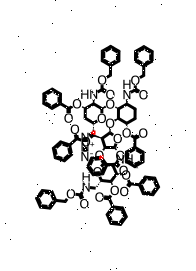 [N-]=[N+]=NC[C@@H]1C[C@H](OC(=O)c2ccccc2)[C@@H](NC(=O)OCc2ccccc2)[C@@H](O[C@H]2[C@H](O[C@@H]3O[C@H](OC(=O)c4ccccc4)[C@@H](O[C@H]4O[C@@H](CNC(=O)OCc5ccccc5)[C@@H](OC(=O)c5ccccc5)[C@H](OC(=O)c5ccccc5)[C@H]4N)[C@H]3COC(=O)c3ccccc3)[C@@H](OC(=O)c3ccccc3)CC[C@@H]2NC(=O)OCc2ccccc2)O1